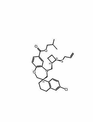 C=CCS[C@@H]1CC[C@@H]1CN1C[C@@]2(CCCc3cc(Cl)ccc32)COc2ccc(C(=O)OCC(C)C)cc21